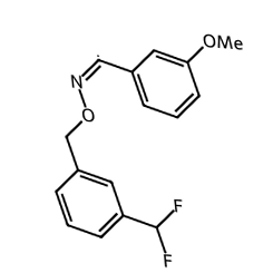 COc1cccc(/[C]=N\OCc2cccc(C(F)F)c2)c1